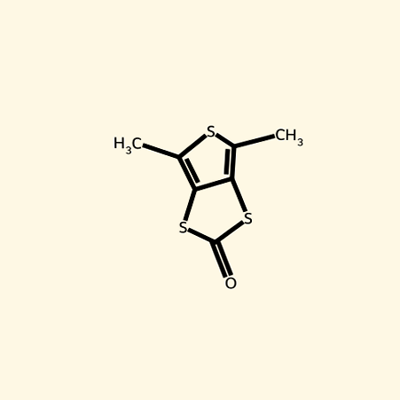 Cc1sc(C)c2sc(=O)sc12